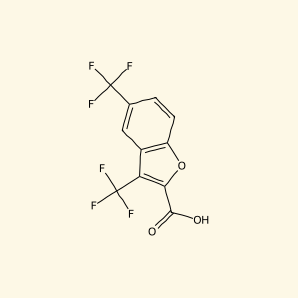 O=C(O)c1oc2ccc(C(F)(F)F)cc2c1C(F)(F)F